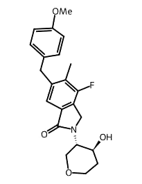 COc1ccc(Cc2cc3c(c(F)c2C)CN([C@H]2COCC[C@@H]2O)C3=O)cc1